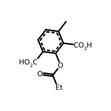 CCC(=O)Oc1c(C(=O)O)ccc(C)c1C(=O)O